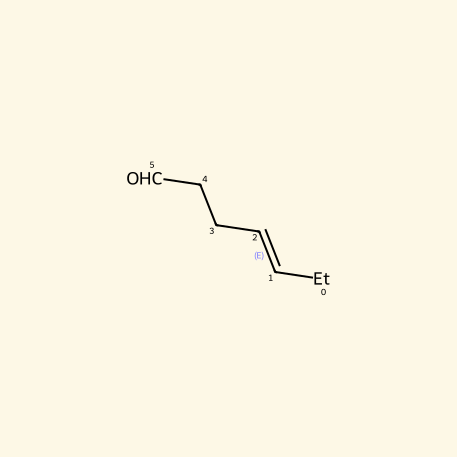 CC/C=C/CCC=O